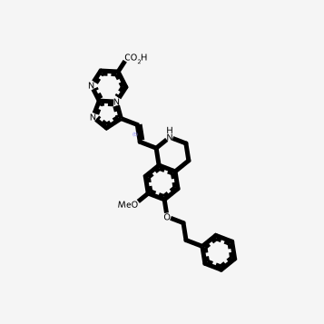 COc1cc2c(cc1OCCc1ccccc1)CCNC2/C=C/c1cnc2ncc(C(=O)O)cn12